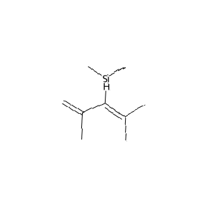 C=C(C)C(=C(C)C)[SiH](C)C